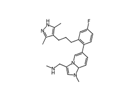 CNCC1=CN(C)C2C=CC(c3ccc(F)cc3CCCc3c(C)n[nH]c3C)=CN12